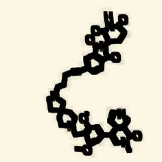 COc1cc(-c2cn(C)c(=O)c3cnccc23)cc(OC)c1CN1CCC2(CC1)CCN(CCCC#Cc1ccc3c(c1)C(=O)N(C1CCC(=O)NC1=O)C3=O)C2